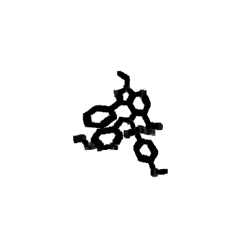 CCn1nc(-c2ccccc2)c2c(N(Cc3cccnc3)S(=O)(=O)c3ccc(OC)cc3)c(C(=O)O)cnc21.NO